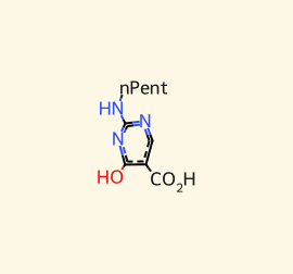 CCCCCNc1ncc(C(=O)O)c(O)n1